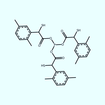 Cc1ccc(C)c(C(S)C(=O)OP(OC(=O)C(S)c2cc(C)ccc2C)OC(=O)C(S)c2cc(C)ccc2C)c1